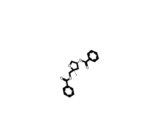 C[C@@]1(COC(=O)c2ccccc2)C[C@@H](OC(=O)c2ccccc2)CO1